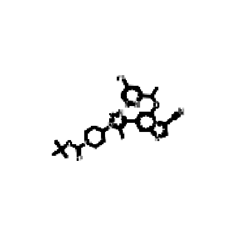 Cc1c(-c2cc(OC(C)c3cc(Cl)cnn3)n3c(C#N)cnc3c2)nnn1C1CCN(C(=O)OC(C)(C)C)CC1